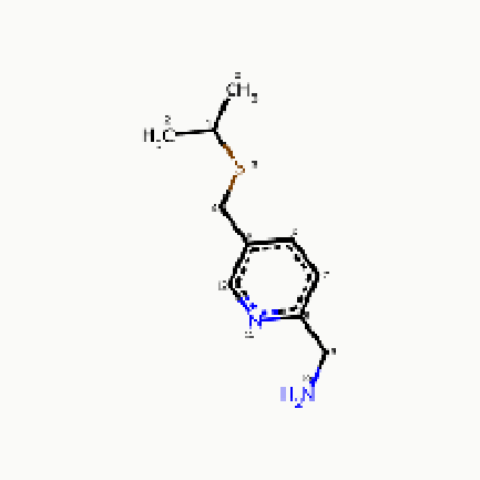 CC(C)SCc1ccc(CN)nc1